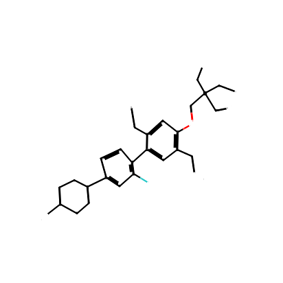 CCc1cc(-c2ccc(C3CCC(C)CC3)cc2F)c(CC)cc1OCC(CC)(CC)CC